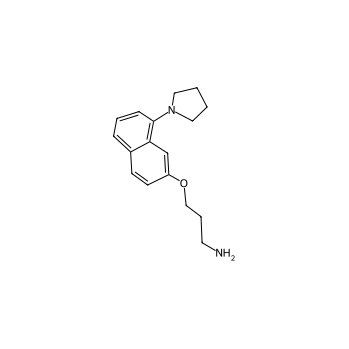 NCCCOc1ccc2cccc(N3CCCC3)c2c1